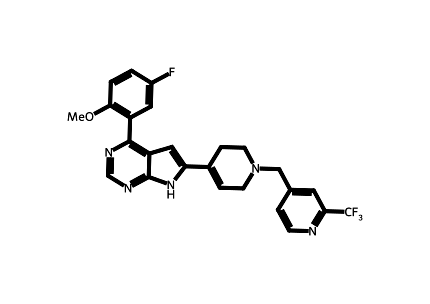 COc1ccc(F)cc1-c1ncnc2[nH]c(C3=CCN(Cc4ccnc(C(F)(F)F)c4)CC3)cc12